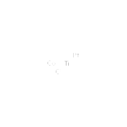 [C].[Co].[Pt].[Ti]